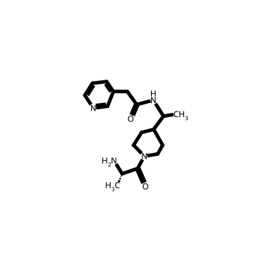 CC(NC(=O)Cc1cccnc1)C1CCN(C(=O)[C@H](C)N)CC1